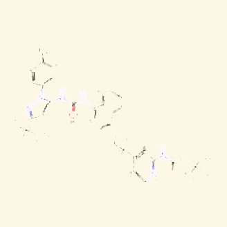 Cc1ccc(-n2nc(C(C)(C)C)cc2NC(=O)Nc2ccc(OCC(C)(C)c3ccnc(NC(=O)OC(C)(C)C)c3)c3ccccc23)cc1